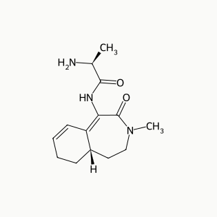 C[C@H](N)C(=O)NC1=C2C=CCC[C@H]2CCN(C)C1=O